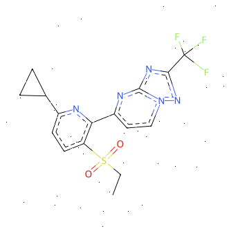 CCS(=O)(=O)c1ccc(C2CC2)nc1-c1ccn2nc(C(F)(F)F)nc2n1